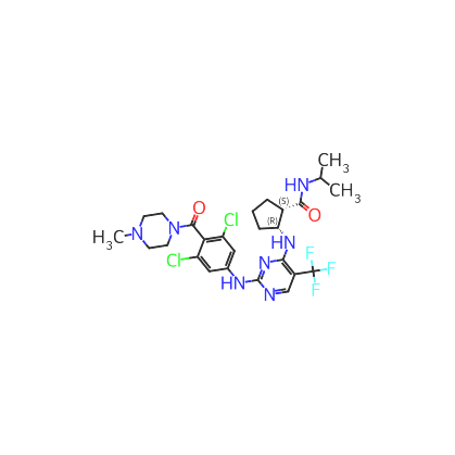 CC(C)NC(=O)[C@H]1CCC[C@H]1Nc1nc(Nc2cc(Cl)c(C(=O)N3CCN(C)CC3)c(Cl)c2)ncc1C(F)(F)F